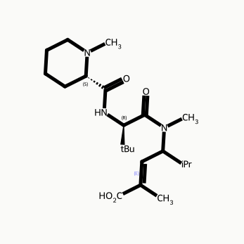 C/C(=C\C(C(C)C)N(C)C(=O)[C@H](NC(=O)[C@@H]1CCCCN1C)C(C)(C)C)C(=O)O